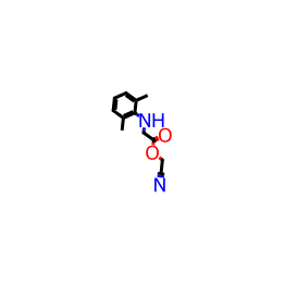 Cc1cccc(C)c1NCC(=O)OCC#N